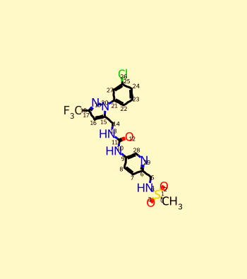 CS(=O)(=O)NCc1ccc(NC(=O)NCc2cc(C(F)(F)F)nn2-c2cccc(Cl)c2)cn1